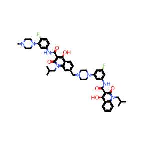 CC(C)Cn1c(=O)c(C(=O)Nc2cc(F)cc(N3CCN(Cc4ccc5c(O)c(C(=O)Nc6ccc(F)c(N7CCN(C)CC7)c6)c(=O)n(CC(C)C)c5c4)CC3)c2)c(O)c2ccccc21